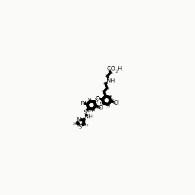 O=C(O)CCNCCCc1cc(Cl)ccc1Oc1cc(F)c(SNc2cscn2)cc1Cl